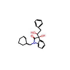 O=C1N(CC2CCCCC2)c2ccccc2C1(O)C(O)Cc1ccccc1